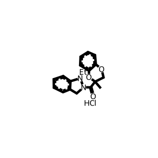 CCN1c2ccccc2CN1C(=O)C1(C)COc2ccccc2O1.Cl